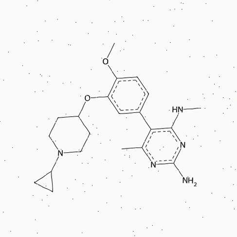 CNc1nc(N)nc(C)c1-c1ccc(OC)c(OC2CCN(C3CC3)CC2)c1